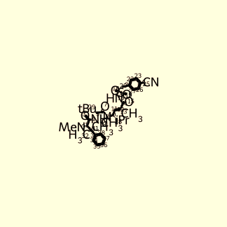 CN[C@H](C(=O)N[C@H](C(=O)N(C)[C@H](C=C(C)C(=O)NS(=O)(=O)Cc1ccc(C#N)cc1)C(C)C)C(C)(C)C)C(C)(C)c1ccccc1